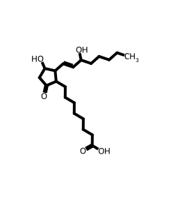 CCCCCC(O)C=CC1C(O)CC(=O)C1CCCCCCCC(=O)O